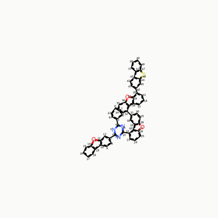 c1ccc(-c2nc(-c3ccc4c(c3)oc3ccccc34)nc(-c3cccc4oc5ccc(-c6cccc7oc8c(-c9ccc%10c(c9)sc9ccccc9%10)cccc8c67)cc5c34)n2)cc1